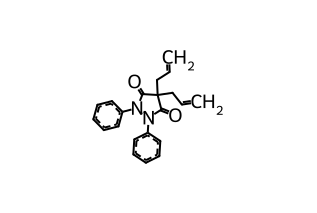 C=CCC1(CC=C)C(=O)N(c2ccccc2)N(c2ccccc2)C1=O